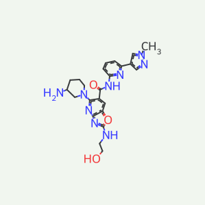 Cn1cc(-c2cccc(NC(=O)c3cc4oc(NCCO)nc4nc3N3CCCC(N)C3)n2)cn1